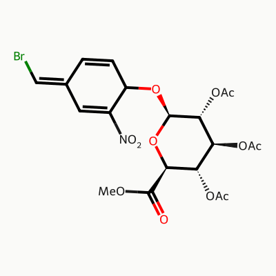 COC(=O)[C@H]1O[C@@H](OC2C=C/C(=C\Br)C=C2[N+](=O)[O-])[C@H](OC(C)=O)[C@@H](OC(C)=O)[C@@H]1OC(C)=O